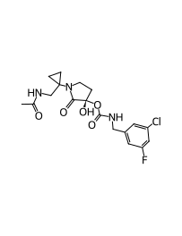 CC(=O)NCC1(N2CC[C@](O)(OC(=O)NCc3cc(F)cc(Cl)c3)C2=O)CC1